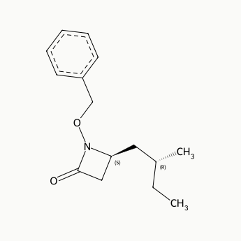 CC[C@@H](C)C[C@H]1CC(=O)N1OCc1ccccc1